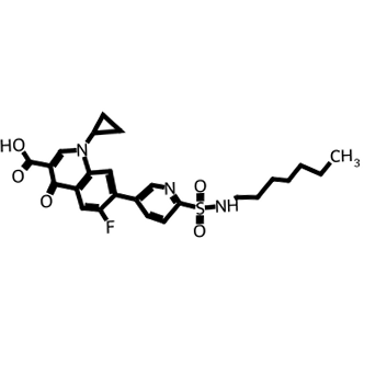 CCCCCCCNS(=O)(=O)c1ccc(-c2cc3c(cc2F)c(=O)c(C(=O)O)cn3C2CC2)cn1